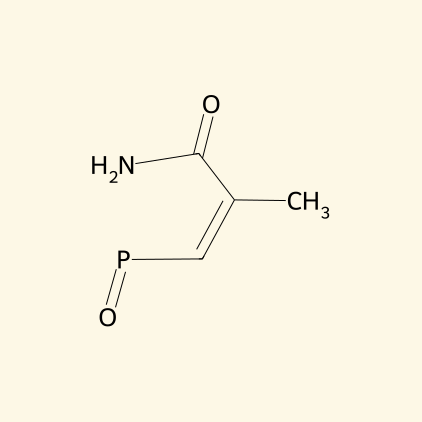 CC(=CP=O)C(N)=O